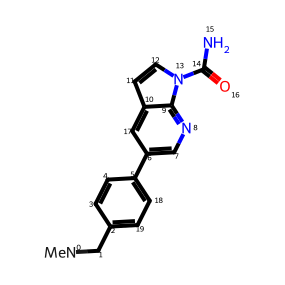 CNCc1ccc(-c2cnc3c([c]cn3C(N)=O)c2)cc1